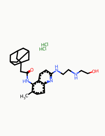 Cc1ccc2nc(NCCNCCO)ccc2c1NC(=O)CC12CC3CC(CC(C3)C1)C2.Cl.Cl